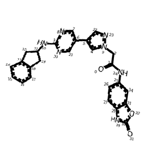 O=C(Cn1cc(-c2cnc(NC3Cc4ccccc4C3)nc2)cn1)Nc1ccc2[nH]c(=O)oc2c1